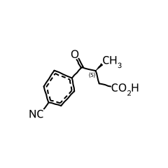 C[C@@H](CC(=O)O)C(=O)c1ccc(C#N)cc1